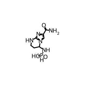 NC(=O)c1cn2c(n1)NCCC2N[PH](=O)O